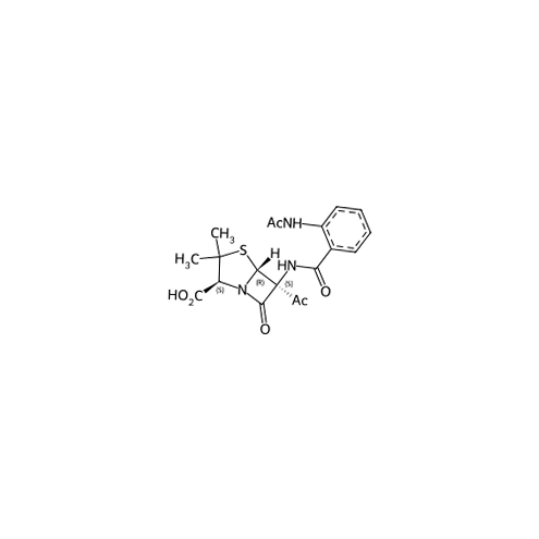 CC(=O)Nc1ccccc1C(=O)N[C@@]1(C(C)=O)C(=O)N2[C@@H](C(=O)O)C(C)(C)S[C@@H]21